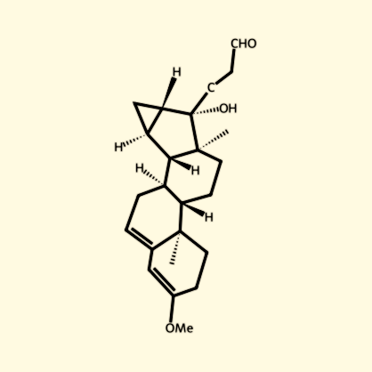 COC1=CC2=CC[C@H]3[C@@H]4[C@H]5C[C@@H]5[C@@](O)(CCC=O)[C@@]4(C)CC[C@@H]3[C@@]2(C)CC1